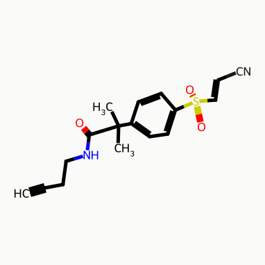 C#CCCNC(=O)C(C)(C)c1ccc(S(=O)(=O)C=CC#N)cc1